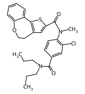 CCCN(CCC)C(=O)c1ccc(N(C)C(=O)c2cc3c(s2)-c2ccccc2OCC3)c(Cl)c1